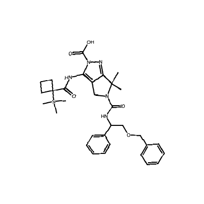 CC1(C)c2nn(C(=O)O)c(NC(=O)C3([Si](C)(C)C)CCC3)c2CN1C(=O)NC(COCc1ccccc1)c1ccccc1